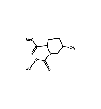 COC(=O)C1CCC(C)CN1C(=O)OC(C)(C)C